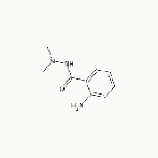 CN(C)NC(=O)c1ccccc1N